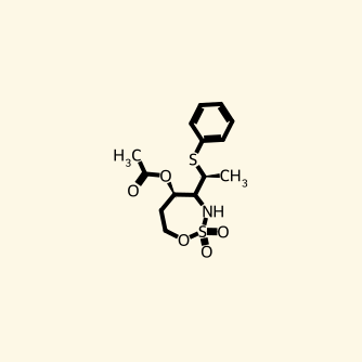 CC(=O)O[C@@H]1CCOS(=O)(=O)NC1[C@H](C)Sc1ccccc1